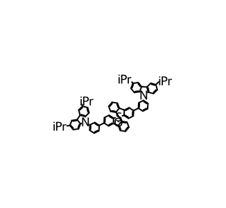 CC(C)c1ccc2c(c1)c1cc(C(C)C)ccc1n2-c1cccc(-c2ccc3c(c2)-c2ccccc2S32(=O)c3ccccc3-c3cc(-c4cccc(-n5c6ccc(C(C)C)cc6c6cc(C(C)C)ccc65)c4)ccc32)c1